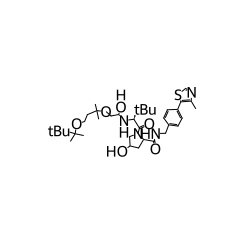 Cc1ncsc1-c1ccc(CNC(=O)C2CC(O)CN2C(=O)[C@@H](NC(O)COC(C)(C)CCOC(C)(C)C(C)(C)C)C(C)(C)C)cc1